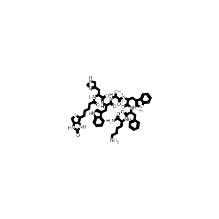 CC(NC(=O)C(Cc1c[nH]c2ccccc12)NC(=O)C(CC1=NCNC1)NC(=O)CCCCC1SCC2NC(=O)NC21)C(=O)NC(Cc1c[nH]c2ccccc12)C(=O)NC(Cc1ccccc1)C(=O)NC(CCCCN)C(N)=O